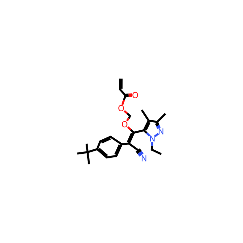 C=CC(=O)OCO/C(=C(/C#N)c1ccc(C(C)(C)C)cc1)c1c(C)c(C)nn1CC